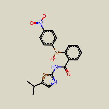 CC(C)c1cnc(NC(=O)c2ccccc2[S+]([O-])c2ccc([N+](=O)[O-])cc2)s1